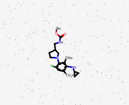 COc1c(NC2CC2)c(C(=O)O)cc(F)c1N1CCC(CNC(=O)OC(C)(C)C)C1